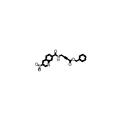 O=C(C#CCNC(=O)c1ccc2cc([SH](=O)=O)cnc2c1)OCc1ccccc1